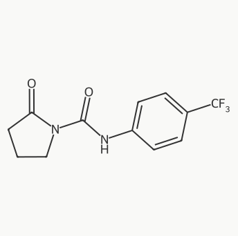 O=C1CCCN1C(=O)Nc1ccc(C(F)(F)F)cc1